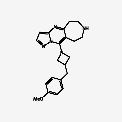 COc1ccc(CC2CN(c3c4c(nc5ccnn35)CCNCC4)C2)cc1